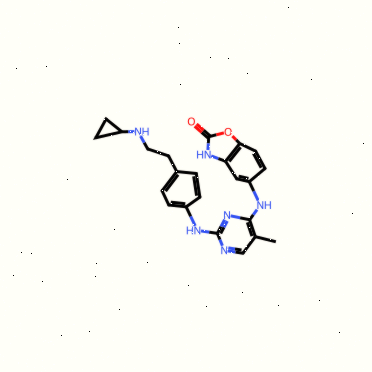 Cc1cnc(Nc2ccc(CCNC3CC3)cc2)nc1Nc1ccc2oc(=O)[nH]c2c1